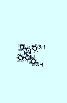 Oc1ccc(C2=N/C(=N\c3[nH]c(-c4ccc(O)cc4)cc3-c3ccccc3)C(c3ccccc3)=C2)cc1